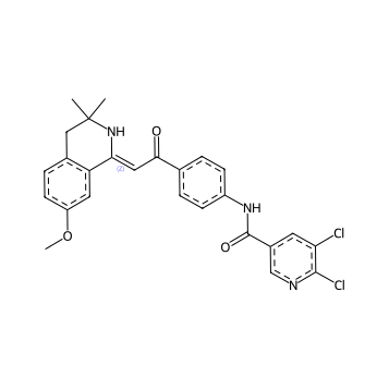 COc1ccc2c(c1)/C(=C/C(=O)c1ccc(NC(=O)c3cnc(Cl)c(Cl)c3)cc1)NC(C)(C)C2